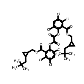 CC(C)(C)CC1CC1COC(=O)c1c(Cl)c(Cl)cc(Cl)c1OC(=O)C(=O)Oc1c(Cl)cc(Cl)c(Cl)c1C(=O)OCC1CC1CC(C)(C)C